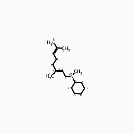 CC(C)=CCC/C(C)=C/CN(C)C1CCCCC1